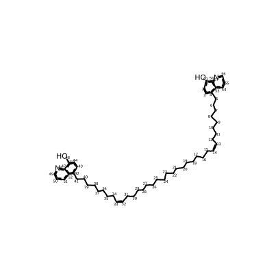 Oc1ccc(CCCCCCCC/C=C\CCCCCCCCCCCCCCCCC/C=C\CCCCCCCCc2ccc(O)c3ncccc23)c2cccnc12